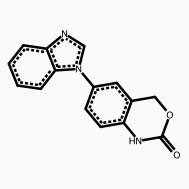 O=C1Nc2ccc(-n3cnc4ccccc43)cc2CO1